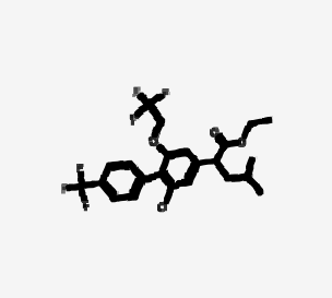 CCOC(=O)C(CC(C)C)c1cc(Cl)c(-c2ccc(C(F)(F)F)cc2)c(OCC(F)(F)F)c1